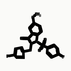 COc1ccc2c(c1)c(=O)n(Cc1ccc(F)cc1)n2S(=O)(=O)c1ccc(F)cc1